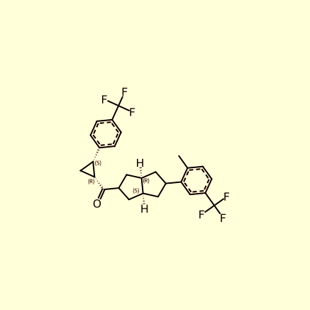 Cc1ccc(C(F)(F)F)cc1C1C[C@H]2CC(C(=O)[C@@H]3C[C@@H]3c3ccc(C(F)(F)F)cc3)C[C@H]2C1